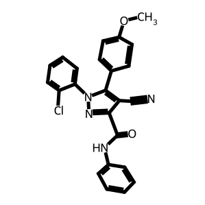 COc1ccc(-c2c(C#N)c(C(=O)Nc3ccccc3)nn2-c2ccccc2Cl)cc1